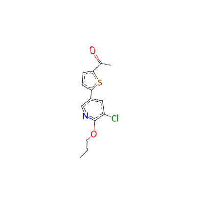 CCCOc1ncc(-c2ccc(C(C)=O)s2)cc1Cl